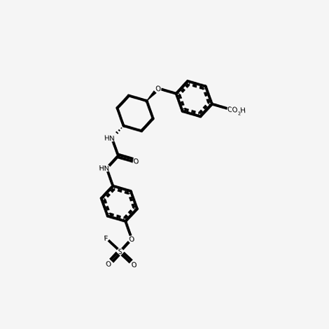 O=C(Nc1ccc(OS(=O)(=O)F)cc1)N[C@H]1CC[C@H](Oc2ccc(C(=O)O)cc2)CC1